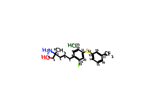 CC(N)(CO)CCCc1ccc(Sc2cccc(C(F)(F)F)c2)cc1F.Cl